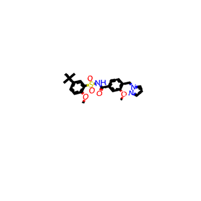 COc1cc(C(=O)NS(=O)(=O)c2cc(C(C)(C)C)ccc2OC)ccc1Cn1cccn1